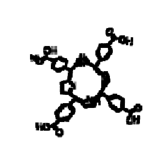 O=C(O)c1ccc(-c2c3nc(c(-c4ccc(C(=O)O)cc4)c4ccc([nH]4)c(-c4ccc(C(=O)O)cc4)c4nc(c(-c5ccc(C(=O)O)cc5)c5ccc2[nH]5)C=C4)C=C3)cc1.[Ni]